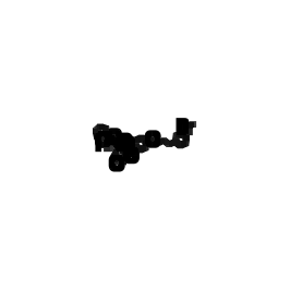 O=C(NOC1CCCCO1)C1(S(=O)(=O)c2ccc(OCCCc3cccc(Br)c3)cc2)CCOCC1